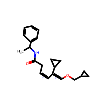 CC(NC(=O)C/C=C\C(=C\OCC1CC1)C1CC1)c1ccccc1